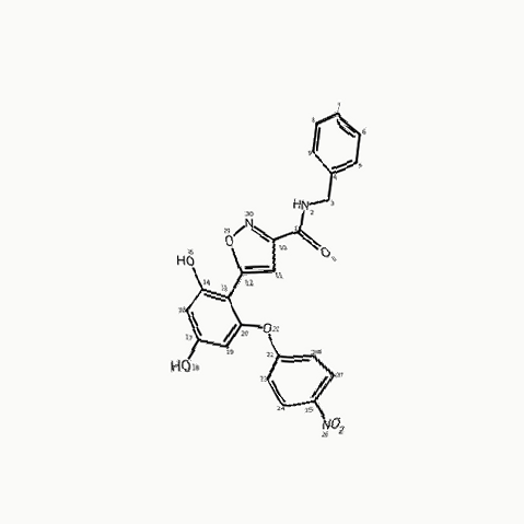 O=C(NCc1ccccc1)c1cc(-c2c(O)cc(O)cc2Oc2ccc([N+](=O)[O-])cc2)on1